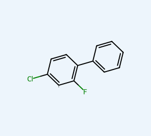 Fc1[c]c(Cl)ccc1-c1ccccc1